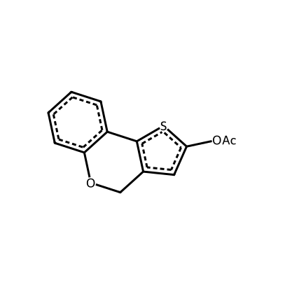 CC(=O)Oc1cc2c(s1)-c1ccccc1OC2